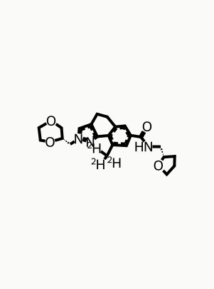 [2H]C([2H])([2H])c1cc(C(=O)NC[C@@H]2CCCO2)cc2c1-c1nn(C[C@H]3COCCO3)cc1CC2